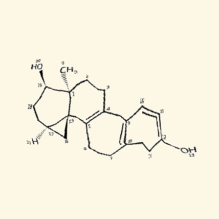 C[C@]12CCC3=C(CCC4=C3C=C=C(O)C4)[C@@]13C[C@H]3C[C@H]2O